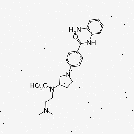 CN(C)CCN(C(=O)O)C1CCN(c2ccc(C(=O)Nc3ccccc3N)cc2)C1